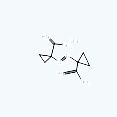 Cl.N=C(N)C1(/N=N/C2(C(=N)N)CC2)CC1